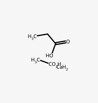 CC(=O)O.CCC(=O)O.[CaH2]